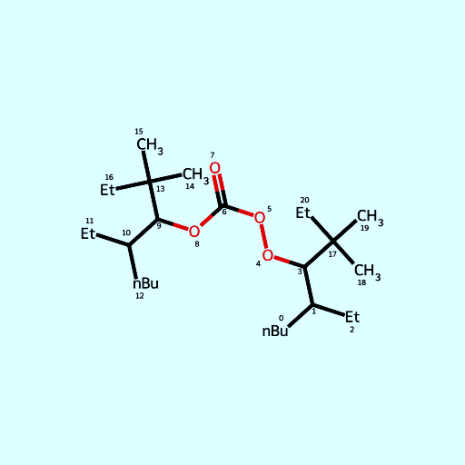 CCCCC(CC)C(OOC(=O)OC(C(CC)CCCC)C(C)(C)CC)C(C)(C)CC